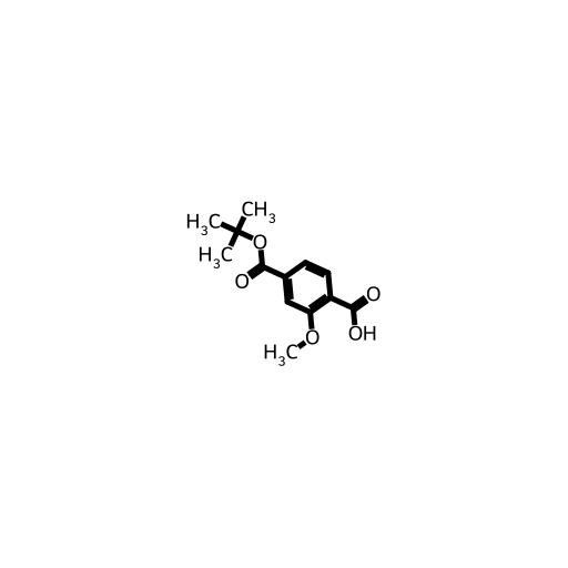 COc1cc(C(=O)OC(C)(C)C)ccc1C(=O)O